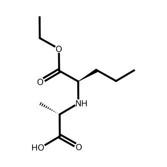 CCC[C@@H](N[C@@H](C)C(=O)O)C(=O)OCC